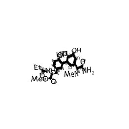 CCC(=O)N[C@@H](Cc1ccc(O)c(-c2cc([C@H](NC)C(N)=O)cc(O)c2O)c1)C(=O)OC